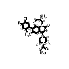 C[C@@H]1CN(c2nc(=O)n3c4c(c(-c5cc(Cl)c(F)cc5F)c(C(F)(F)F)cc24)SC[C@@H](N)C3)C[C@H](C)N1C(=O)OC(C)(C)C